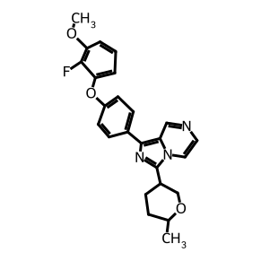 COc1cccc(Oc2ccc(-c3nc(C4CCC(C)OC4)n4ccncc34)cc2)c1F